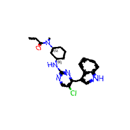 C=CC(=O)N(C)[C@H]1CCC[C@@H](Nc2ncc(Cl)c(-c3c[nH]c4ccccc34)n2)C1